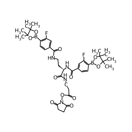 CC1(C)OB(c2ccc(C(=O)NCC[C@@H](NC(=O)c3ccc(B4OC(C)(C)C(C)(C)O4)c(F)c3)C(=O)NCCC(=O)ON3C(=O)CCC3=O)cc2F)OC1(C)C